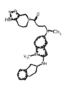 CN(CCC(=O)N1CCc2[nH]nnc2C1)c1ccc2c(c1)cc(NC1Cc3ccccc3C1)n2C